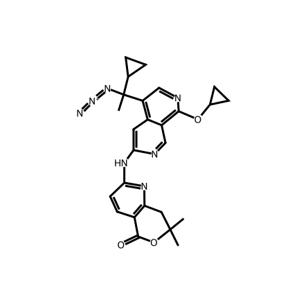 CC1(C)Cc2nc(Nc3cc4c(C(C)(N=[N+]=[N-])C5CC5)cnc(OC5CC5)c4cn3)ccc2C(=O)O1